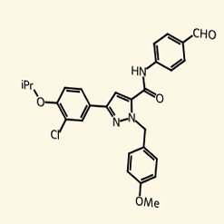 COc1ccc(Cn2nc(-c3ccc(OC(C)C)c(Cl)c3)cc2C(=O)Nc2ccc(C=O)cc2)cc1